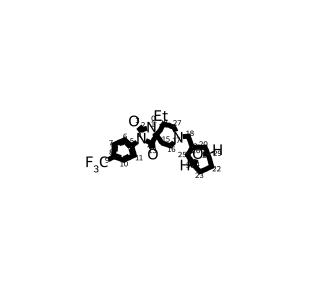 CCN1C(=O)N(c2ccc(C(F)(F)F)cc2)C(=O)C12CCN(CC1C[C@H]3CC[C@@H](C1)O3)CC2